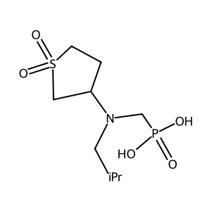 CC(C)CN(CP(=O)(O)O)C1CCS(=O)(=O)C1